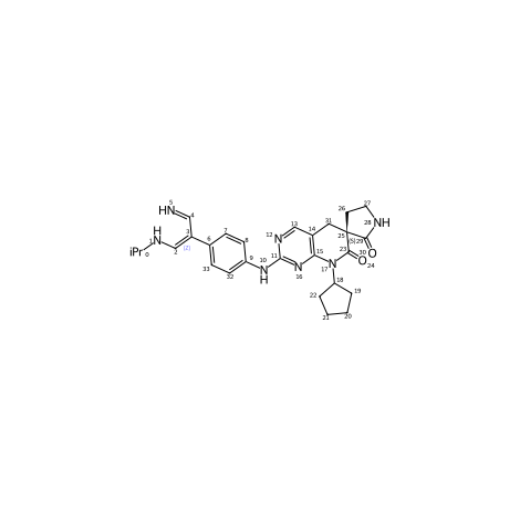 CC(C)N/C=C(\C=N)c1ccc(Nc2ncc3c(n2)N(C2CCCC2)C(=O)[C@]2(CCNC2=O)C3)cc1